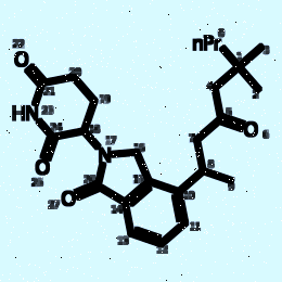 CCCC(C)(C)CC(=O)CC(C)c1cccc2c1CN(C1CCC(=O)NC1=O)C2=O